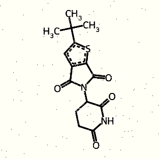 CC(C)(C)c1cc2c(s1)C(=O)N(C1CCC(=O)NC1=O)C2=O